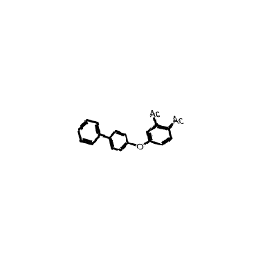 CC(=O)c1ccc(Oc2ccc(-c3ccccc3)cc2)cc1C(C)=O